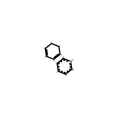 C1=CCCC=C1.c1ccncc1